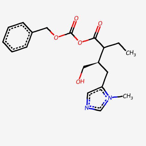 CCC(C(=O)OC(=O)OCc1ccccc1)[C@H](CO)Cc1cncn1C